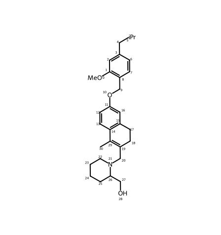 COc1cc(CC(C)C)ccc1COc1ccc2c(c1)CCC(CN1CCCCC1CO)=C2C